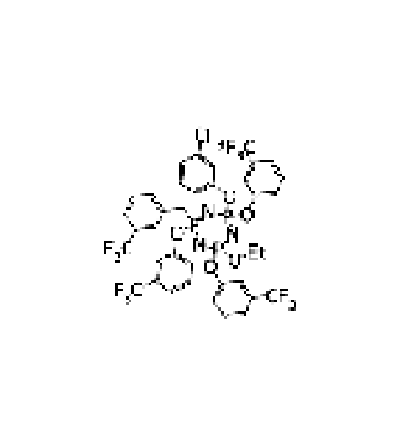 CCOP1(Oc2cccc(C(F)(F)F)c2)=NP(Cc2cccc(C(F)(F)F)c2)(Oc2cccc(C(F)(F)F)c2)=NP(Oc2cccc(C(F)(F)F)c2)(Oc2cccc(C(F)(F)F)c2)=N1